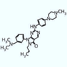 C=CCn1c(=O)c2cnc(Nc3ccc(N4CCN(C)CC4)cc3)nc2n1-c1cccc(CN(C)C)c1